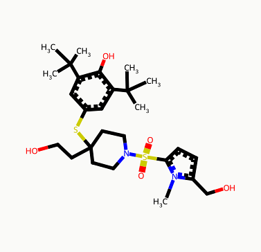 Cn1c(CO)ccc1S(=O)(=O)N1CCC(CCO)(Sc2cc(C(C)(C)C)c(O)c(C(C)(C)C)c2)CC1